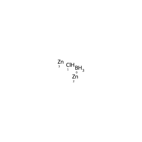 B.Cl.[Zn].[Zn]